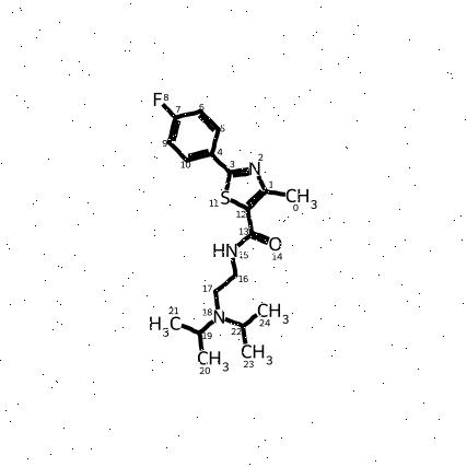 Cc1nc(-c2ccc(F)cc2)sc1C(=O)NCCN(C(C)C)C(C)C